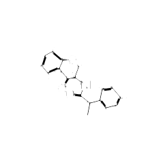 CC(C(=O)NC1COc2ccccc2C1=O)c1ccccc1